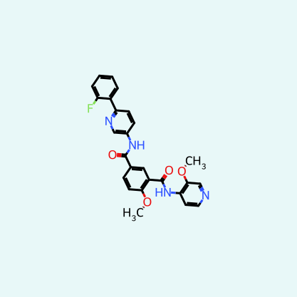 COc1cnccc1NC(=O)c1cc(C(=O)Nc2ccc(-c3ccccc3F)nc2)ccc1OC